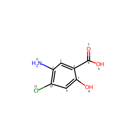 Nc1cc(C(=O)O)c(O)cc1Cl